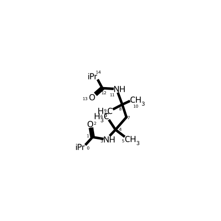 CC(C)C(=O)NC(C)(C)CC(C)(C)NC(=O)C(C)C